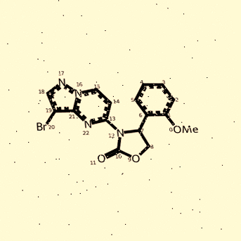 COc1ccccc1C1COC(=O)N1c1ccn2ncc(Br)c2n1